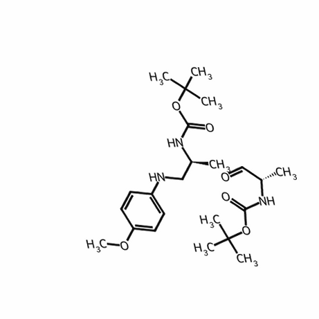 COc1ccc(NC[C@H](C)NC(=O)OC(C)(C)C)cc1.C[C@@H](C=O)NC(=O)OC(C)(C)C